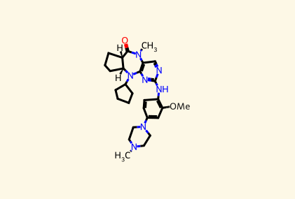 COc1cc(N2CCN(C)CC2)ccc1Nc1ncc2c(n1)N(C1CCCC1)[C@@H]1CCC[C@@H]1C(=O)N2C